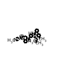 Cc1ccc(-c2ccccc2C(=O)Nc2ccc(C(=O)N3CCC(=O)N(CC(=O)N4CCN(C)CC4)c4ccccc43)cc2OCCCN(C)C)cc1